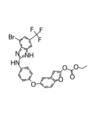 CCOC(=O)Oc1cc2cc(Oc3ccc(Nc4nc5c(Br)cc(C(F)(F)F)cc5[nH]4)cc3)ccc2o1